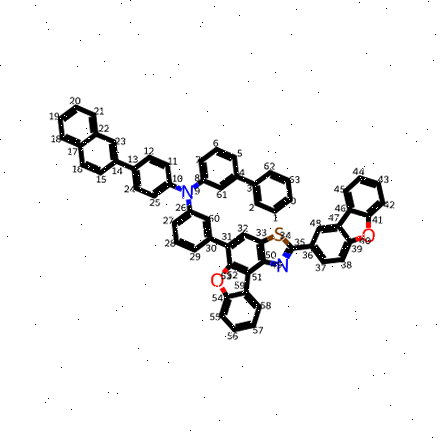 c1ccc(-c2cccc(N(c3ccc(-c4ccc5ccccc5c4)cc3)c3cccc(-c4cc5sc(-c6ccc7oc8ccccc8c7c6)nc5c5c4oc4ccccc45)c3)c2)cc1